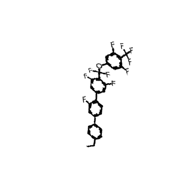 CCc1ccc(-c2ccc(-c3cc(F)c(C(F)(F)Oc4cc(F)c(C(F)(F)F)c(F)c4)c(F)c3)c(F)c2)cc1